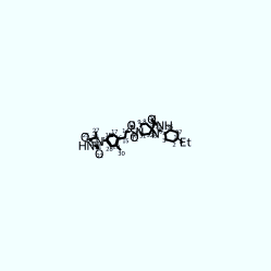 CC[C@H]1CC[C@H](C2=NC3(CCN(S(=O)(=O)CCc4ccc(N5C(=O)NC(=O)C5C)cc4C)CC3)C(=O)N2)CC1